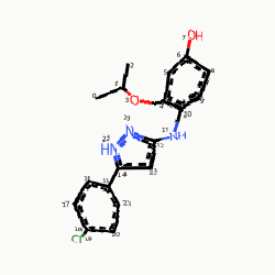 CC(C)Oc1cc(O)ccc1Nc1cc(-c2ccc(Cl)cc2)[nH]n1